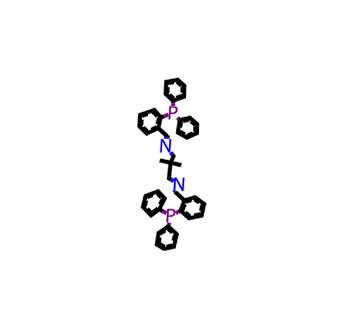 CC(C)(C/N=C/c1ccccc1P(c1ccccc1)c1ccccc1)C/N=C/c1ccccc1P(c1ccccc1)c1ccccc1